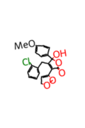 COc1ccc(C2(O)OC(=O)C(C3=CCOO3)=C2Cc2ccccc2Cl)cc1